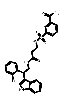 CC(=O)c1cccc(S(=O)(=O)NCCC(=O)NCC(c2ccccc2Cl)c2c[nH]c3ccccc23)c1